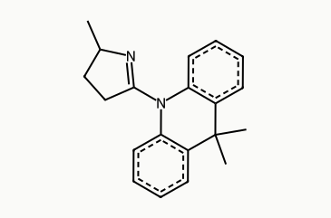 CC1CCC(N2c3ccccc3C(C)(C)c3ccccc32)=N1